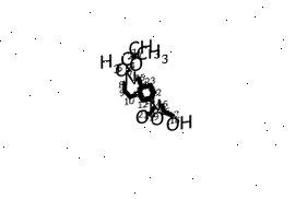 CC(C)(C)OC(=O)N1CCCc2cc(N3CC(CO)OC3=O)ccc2C1